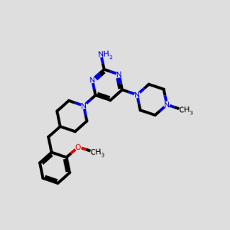 COc1ccccc1CC1CCN(c2cc(N3CCN(C)CC3)nc(N)n2)CC1